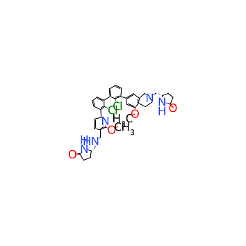 COc1cc(-c2cccc(-c3cccc(-c4ccc(CNC[C@@H]5CCC(=O)N5)c(OC)n4)c3Cl)c2Cl)cc2c1CCN(C[C@@H]1CCC(=O)N1)C2